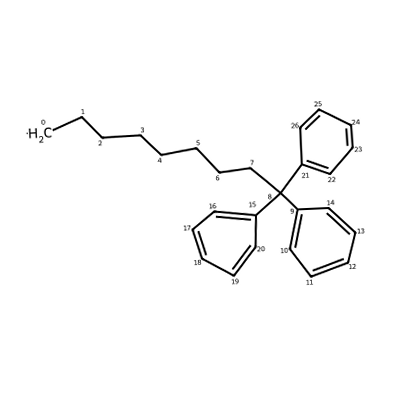 [CH2]CCCCCCCC(c1ccccc1)(c1ccccc1)c1ccccc1